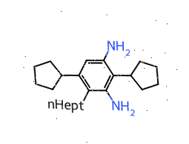 CCCCCCCc1c(C2CCCC2)cc(N)c(C2CCCC2)c1N